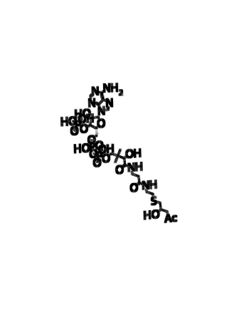 CC(=O)CC(O)CSCCNC(=O)CCNC(=O)[C@H](O)C(C)(C)COP(=O)(O)OP(=O)(O)OC[C@H]1O[C@@H](n2cnc3c(N)ncnc32)[C@H](O)[C@@H]1OP(=O)(O)O